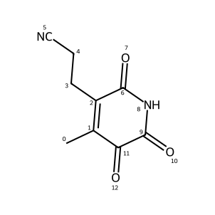 CC1=C(CCC#N)C(=O)NC(=O)C1=O